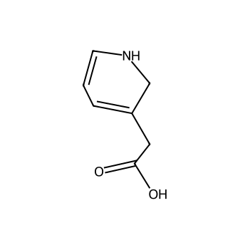 O=C(O)CC1=CC=CNC1